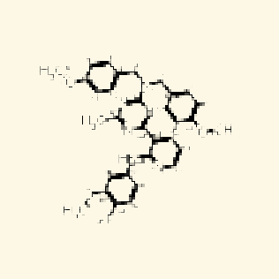 COc1ccc(CN(Cc2ccc(OC)cc2)c2nc(C)nc(-c3cccnc3Nc3ccc(F)c(OC)c3)n2)cc1